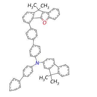 CC1(C)c2ccccc2-c2ccc(N(c3ccc(-c4ccccc4)cc3)c3ccc(-c4ccc(-c5cccc6c5-c5oc7ccccc7c5C6(C)C)cc4)cc3)cc21